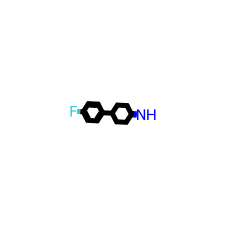 N=C1CCC(c2ccc(F)cc2)CC1